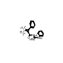 CC1(C)C(C(=O)NC(=N)Nc2ccccc2)C1c1ccccc1